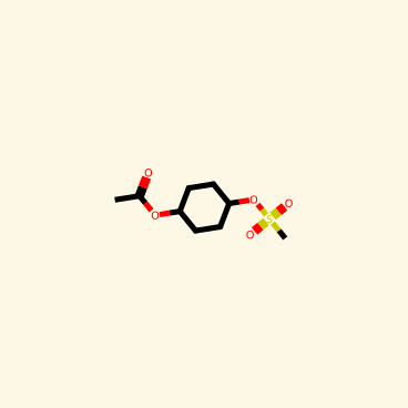 CC(=O)OC1CCC(OS(C)(=O)=O)CC1